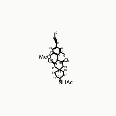 CC#Cc1cc(C)c(C2C(=O)CC3(CCC(NC(C)=O)CC3)CC2=O)c(OC)c1